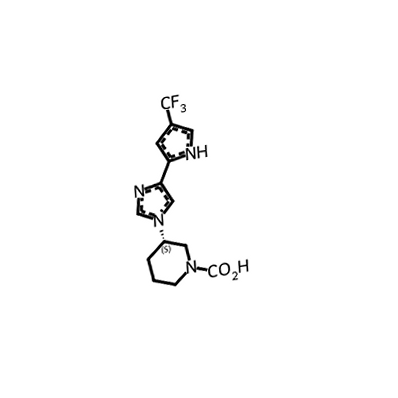 O=C(O)N1CCC[C@H](n2cnc(-c3cc(C(F)(F)F)c[nH]3)c2)C1